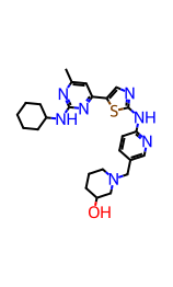 Cc1cc(-c2cnc(Nc3ccc(CN4CCCC(O)C4)cn3)s2)nc(NC2CCCCC2)n1